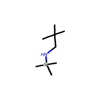 CC(C)(C)CN[Si](C)(C)C